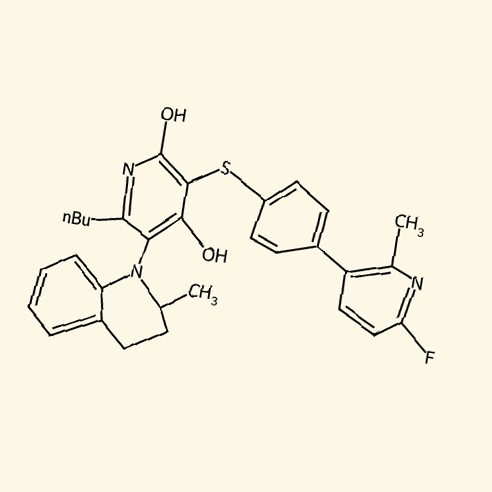 CCCCc1nc(O)c(Sc2ccc(-c3ccc(F)nc3C)cc2)c(O)c1N1c2ccccc2CCC1C